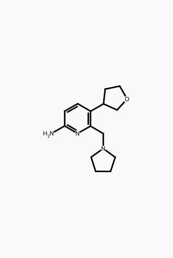 Nc1ccc(C2CCOC2)c(CN2CCCC2)n1